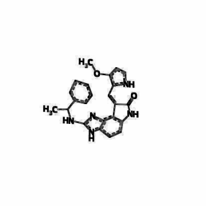 COc1cc[nH]c1C=C1C(=O)Nc2ccc3[nH]c(NC(C)c4ccccc4)nc3c21